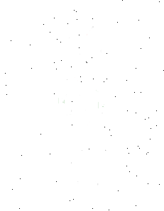 CCC1(COC(Br)(Br)C(Br)(Br)OCc2ccccc2)COC1